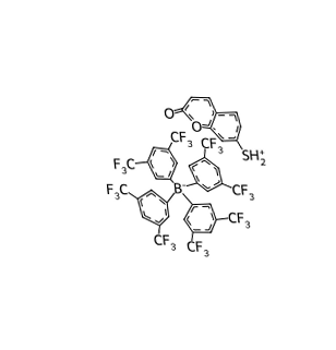 FC(F)(F)c1cc([B-](c2cc(C(F)(F)F)cc(C(F)(F)F)c2)(c2cc(C(F)(F)F)cc(C(F)(F)F)c2)c2cc(C(F)(F)F)cc(C(F)(F)F)c2)cc(C(F)(F)F)c1.O=c1ccc2ccc([SH2+])cc2o1